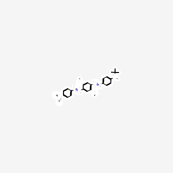 COc1cc(/N=N/c2ccc([N+](=O)[O-])cc2)c(OC)cc1/N=N/c1ccc(N(C)C(C)(C)C)cc1